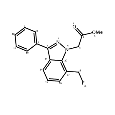 COC(=O)Cn1nc(-c2ccccc2)c2cccc(CF)c21